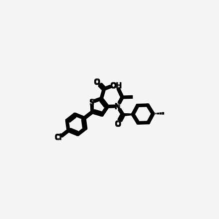 CC(C)N(c1cc(-c2ccc(Cl)cc2)sc1C(=O)O)C(=O)[C@H]1CC[C@H](C)CC1